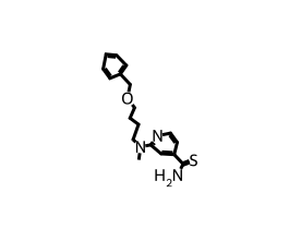 CN(CCCCOCc1ccccc1)c1cc(C(N)=S)ccn1